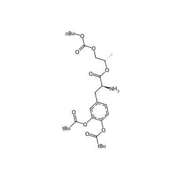 CCCCOC(=O)OC[C@H](C)OC(=O)[C@@H](N)Cc1ccc(OC(=O)C(C)(C)C)c(OC(=O)C(C)(C)C)c1